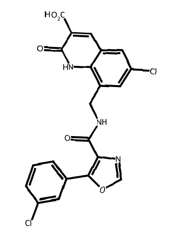 O=C(NCc1cc(Cl)cc2cc(C(=O)O)c(=O)[nH]c12)c1ncoc1-c1cccc(Cl)c1